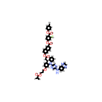 C=C(C)C(=O)OCCCOc1ccc(CCC(=O)Oc2ccc3cc(C(=O)Oc4ccc(C(=O)Oc5ccc(C)cc5)c(F)c4)ccc3c2)c(N(c2ccccc2)c2cnc(Nc3ccc4nccnc4c3)cn2)c1